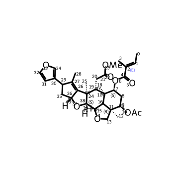 C/C=C(\C)C(=O)O[C@H]1C[C@@H](OC(C)=O)[C@@]2(C)CO[C@@H]3C2[C@@]1(C)[C@@H](CC(=O)OC)[C@]1(C)C2=C(C)C(c4ccoc4)C[C@H]2O[C@H]31